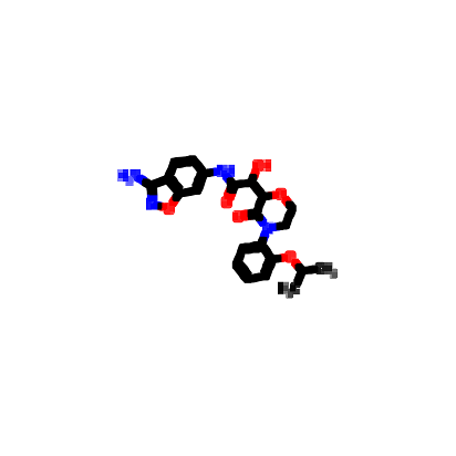 CC(C)Oc1ccccc1N1CCOC(C(O)C(=O)Nc2ccc3c(N)noc3c2)C1=O